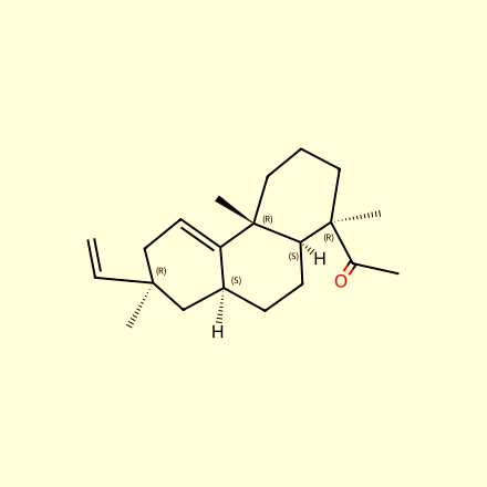 C=C[C@@]1(C)CC=C2[C@@H](CC[C@@H]3[C@](C)(C(C)=O)CCC[C@@]23C)C1